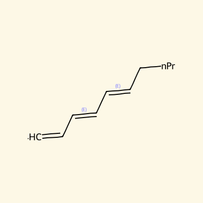 [CH]=C/C=C/C=C/CCCC